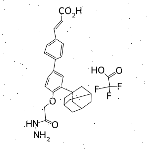 NNC(=O)COc1ccc(-c2ccc(C=CC(=O)O)cc2)cc1C12CC3CC(CC(C3)C1)C2.O=C(O)C(F)(F)F